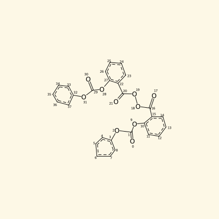 O=C(Oc1ccccc1)Oc1ccccc1C(=O)OOC(=O)c1ccccc1OC(=O)Oc1ccccc1